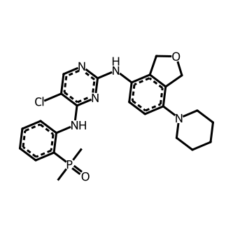 CP(C)(=O)c1ccccc1Nc1nc(Nc2ccc(N3CCCCC3)c3c2COC3)ncc1Cl